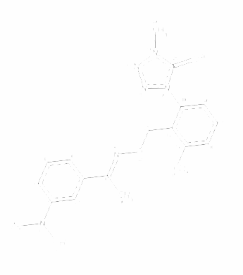 CC(=O)N(C)c1cccc(C(C)=NOCc2c(C)cccc2-n2nnn(C)c2=O)c1